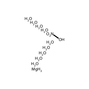 O.O.O.O.O.O.O.O.O.O=[N+]([O-])O.[MgH2]